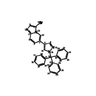 Brc1cnc2ccc(-c3cnn(C(c4ccccc4)(c4ccccc4)c4ccccc4)c3)cn12